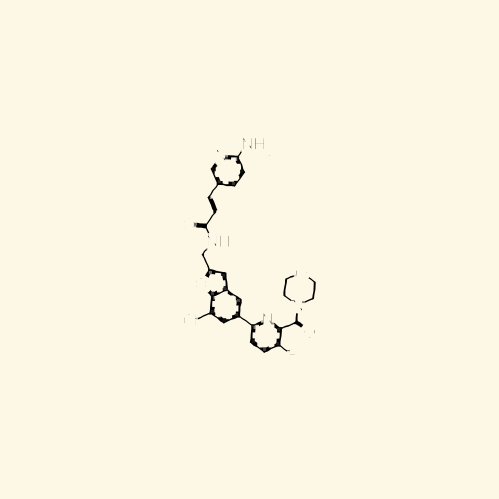 Nc1ccc(C=CC(=O)NCc2cc3cc(-c4ccc(F)c(C(=O)N5CCOCC5)n4)cc(Cl)c3o2)cn1